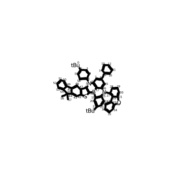 CC(C)(C)c1ccc(N2c3cc(-c4ccccc4)cc4c3B(c3cc(C(C)(C)C)ccc3N4c3cccc4oc5ccccc5c34)c3sc4cc5c(cc4c32)-c2ccccc2C5(C)C)cc1